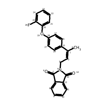 CC(=CCN1C(=O)c2ccccc2C1=O)c1ccc(Oc2ccccc2F)cc1